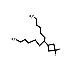 CCCCCCC(CCCCCC)C1CC(F)(F)C1